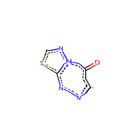 O=c1[c]nnc2scnn12